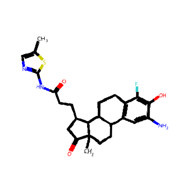 Cc1cnc(NC(=O)CCC2CC(=O)C3(C)CCC4c5cc(N)c(O)c(F)c5CCC4C23)s1